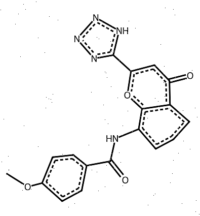 COc1ccc(C(=O)Nc2cccc3c(=O)cc(-c4nnn[nH]4)oc23)cc1